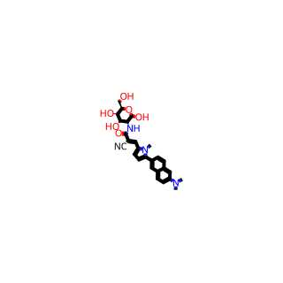 CN(C)c1ccc2cc(-c3ccc(/C=C(\C#N)C(=O)N[C@H]4C(O)O[C@H](CO)[C@@H](O)[C@@H]4O)n3C)ccc2c1